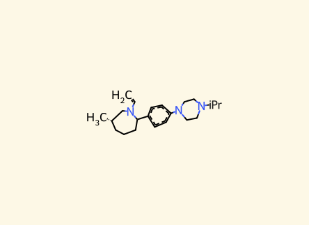 C=CN1C[C@@H](C)CCCC1c1ccc(N2CCN(C(C)C)CC2)cc1